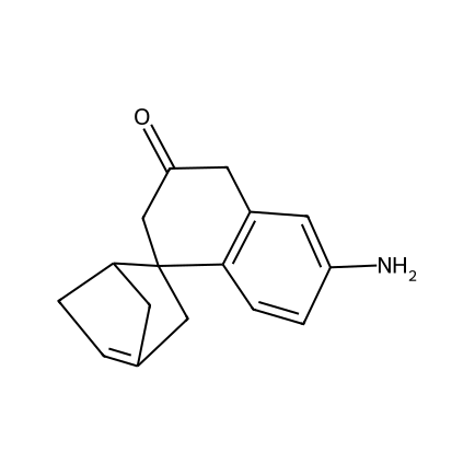 Nc1ccc2c(c1)CC(=O)CC21CC2=CCC1C2